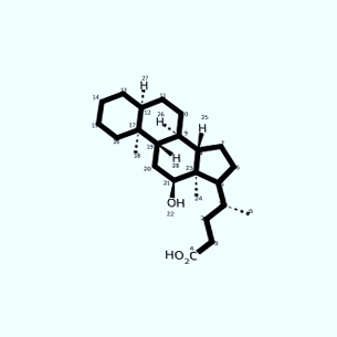 C[C@H](CCC(=O)O)C1CC[C@H]2[C@@H]3CC[C@@H]4CCCC[C@]4(C)[C@H]3C[C@H](O)[C@]12C